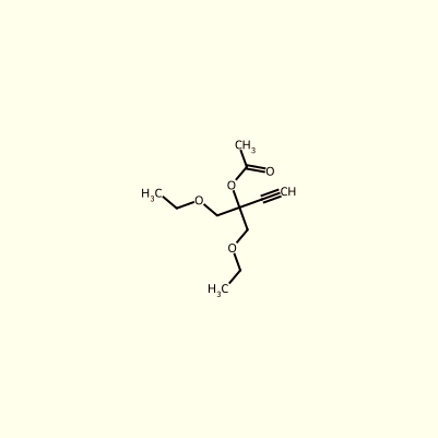 C#CC(COCC)(COCC)OC(C)=O